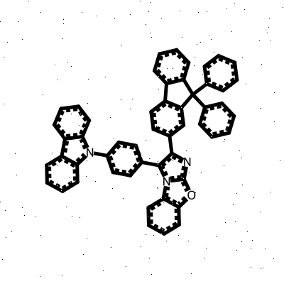 c1ccc(C2(c3ccccc3)c3ccccc3-c3ccc(-c4nc5oc6ccccc6n5c4-c4ccc(-n5c6ccccc6c6ccccc65)cc4)cc32)cc1